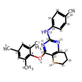 Cc1cc(C#N)cc(C)c1Oc1nc(Nc2ccc(C#N)cc2)nc2c1SCCC2